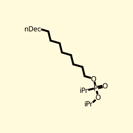 CCCCCCCCCCCCCCCCCCOP(=O)(OC(C)C)C(C)C